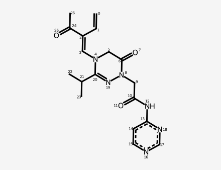 C=C/C(=C\N1CC(=O)N(CC(=O)Nc2ccncn2)N=C1C(C)C)C(C)=O